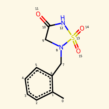 Cc1ccccc1CN1CC(=O)NS1(=O)=O